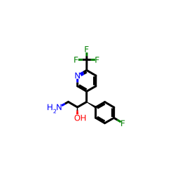 NC[C@H](O)[C@H](c1ccc(F)cc1)c1ccc(C(F)(F)F)nc1